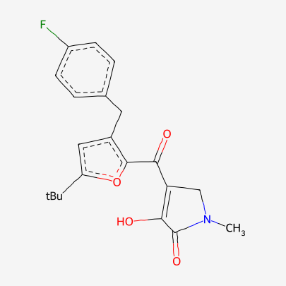 CN1CC(C(=O)c2oc(C(C)(C)C)cc2Cc2ccc(F)cc2)=C(O)C1=O